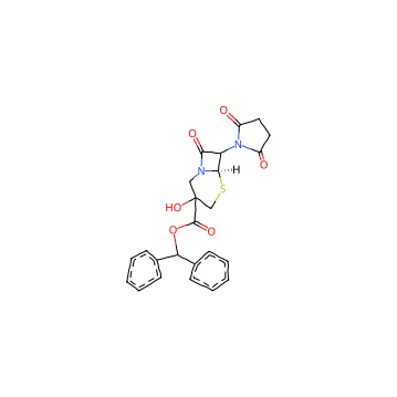 O=C1CCC(=O)N1C1C(=O)N2CC(O)(C(=O)OC(c3ccccc3)c3ccccc3)CS[C@H]12